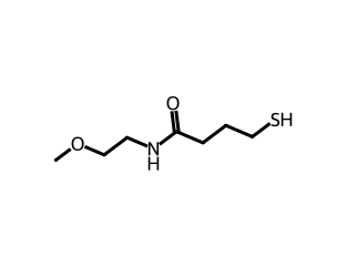 COCCNC(=O)CCCS